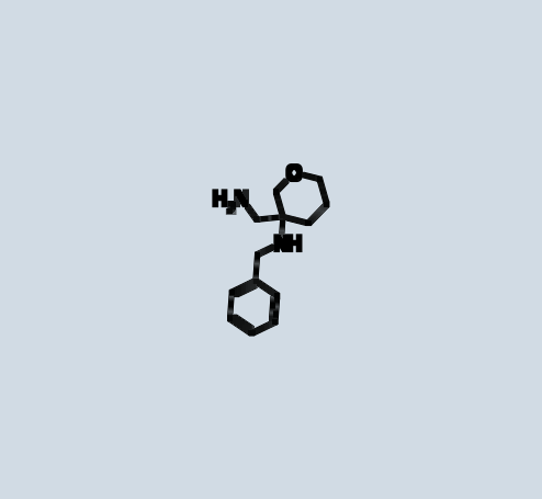 NCC1(NCc2ccccc2)CCCOC1